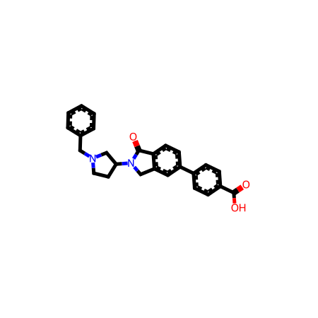 O=C(O)c1ccc(-c2ccc3c(c2)CN(C2CCN(Cc4ccccc4)C2)C3=O)cc1